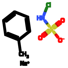 Cc1ccccc1.O=S(=O)([O-])NCl.[Na+]